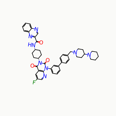 O=C(N[C@H]1CC[C@@H](n2c(=O)c3cc(F)cnc3n(-c3cccc(-c4ccc(CN5CCC(N6CCCCC6)CC5)cc4)c3)c2=O)CC1)c1cnc2ccccc2n1